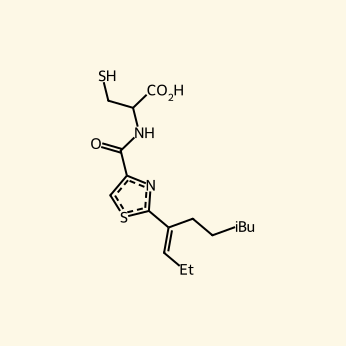 CC/C=C(\CCC(C)CC)c1nc(C(=O)NC(CS)C(=O)O)cs1